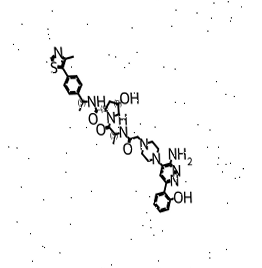 Cc1ncsc1-c1ccc([C@H](C)NC(=O)[C@@H]2C[C@@H](O)CN2C(=O)[C@H](C)NC(=O)CN2CCN(c3cc(-c4ccccc4O)nnc3N)CC2)cc1